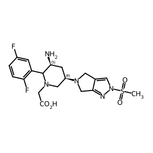 CS(=O)(=O)n1cc2c(n1)CN([C@@H]1C[C@H](N)C(c3cc(F)ccc3F)N(CC(=O)O)C1)C2